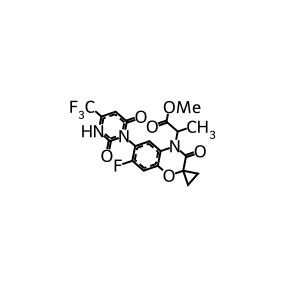 COC(=O)C(C)N1C(=O)C2(CC2)Oc2cc(F)c(-n3c(=O)cc(C(F)(F)F)[nH]c3=O)cc21